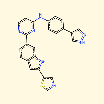 c1cc(Nc2ccc(-c3cn[nH]c3)cc2)nc(-c2ccc3cc(-c4cncs4)[nH]c3c2)n1